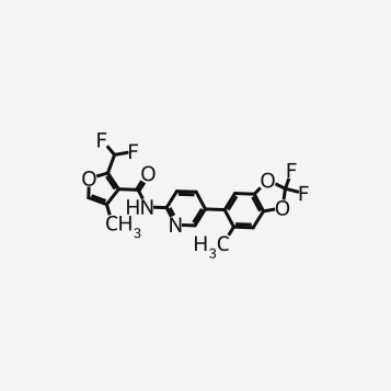 Cc1cc2c(cc1-c1ccc(NC(=O)c3c(C)coc3C(F)F)nc1)OC(F)(F)O2